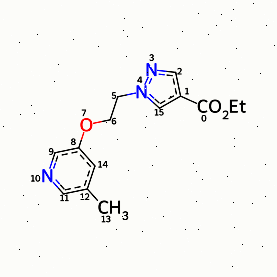 CCOC(=O)c1cnn(CCOc2cncc(C)c2)c1